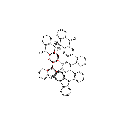 O=C1c2ccccc2S(=O)(=O)c2ccc(-c3ccccc3-c3cc(-c4ccccc4-n4c5ccccc5c5ccccc54)c(-c4ccccc4-c4ccc5c(c4)C(=O)c4ccccc4S5(=O)=O)nc3-c3ccccc3-n3c4ccccc4c4ccccc43)cc21